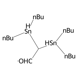 CCC[CH2][SnH]([CH2]CCC)[CH]([C]=O)[SnH]([CH2]CCC)[CH2]CCC